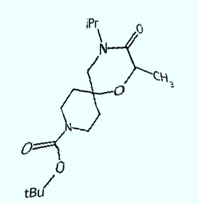 CC1OC2(CCN(C(=O)OC(C)(C)C)CC2)CN(C(C)C)C1=O